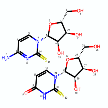 Nc1ccn([C@@H]2O[C@H](CO)[C@@H](O)[C@H]2O)c(=S)n1.O=c1ccn([C@@H]2O[C@H](CO)[C@@H](O)[C@H]2O)c(=S)[nH]1